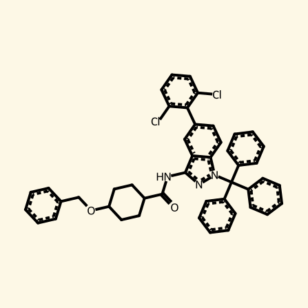 O=C(Nc1nn(C(c2ccccc2)(c2ccccc2)c2ccccc2)c2ccc(-c3c(Cl)cccc3Cl)cc12)C1CCC(OCc2ccccc2)CC1